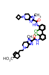 Cn1c(C(=O)Nc2cccc(-c3cccc(NC(=O)c4nc5c(n4C)CCN(C4CCC4)C5)c3Cl)c2Cl)nc2c1CCN(CCC13CCC(C(=O)O)(CC1)C3)C2